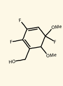 COC1C(CO)=C(F)C(F)=CC1(F)OC